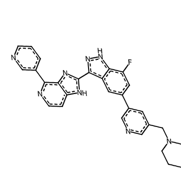 Fc1cc(-c2cncc(CN3CCCCC3)c2)cc2c(-c3nc4c(-c5cccnc5)nccc4[nH]3)n[nH]c12